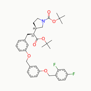 CC(C)(C)OC(=O)[C@@H](Cc1cccc(OCc2cccc(OCc3ccc(F)cc3F)c2)c1)[C@H]1CCN(C(=O)OC(C)(C)C)C1